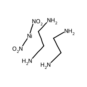 NCCN.NCCN.O=[N+]([O-])[Ni][N+](=O)[O-]